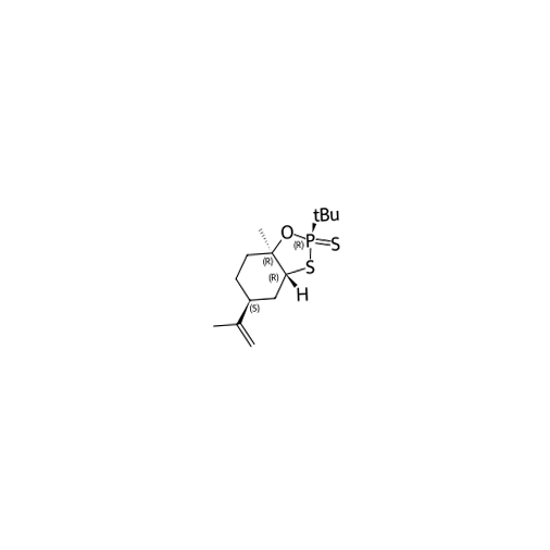 C=C(C)[C@H]1CC[C@@]2(C)O[P@@](=S)(C(C)(C)C)S[C@@H]2C1